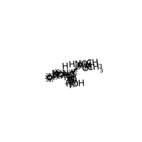 CN(C)C(=O)O[C@H]1CN[C@@H](C#Cc2cc3c(Nc4ccc5c(cnn5Cc5ccccc5)c4)ncnc3s2)C1.O=C(O)C(F)(F)F